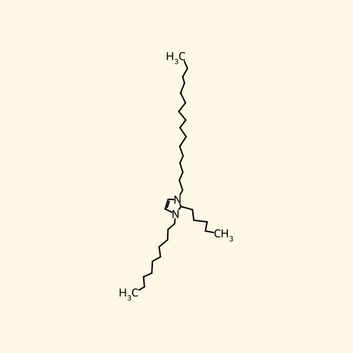 CCCCCCCCCCCCCCCCN1C=CN(CCCCCCCCCC)C1CCCCC